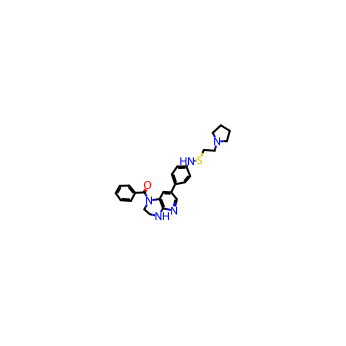 O=C(c1ccccc1)N1CCNc2ncc(-c3ccc(NSCCN4CCCC4)cc3)cc21